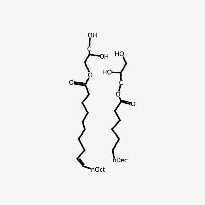 CCCCCCCC/C=C\CCCCCCCC(=O)OCC(O)CO.CCCCCCCCCCCCCCCC(=O)OCC(O)CO